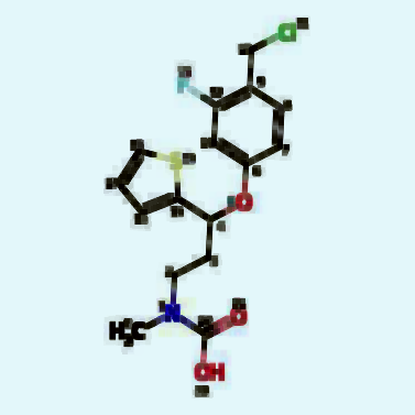 CN(CCC(Oc1ccc(CCl)c(F)c1)c1cccs1)C(=O)O